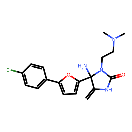 C=C1NC(=O)N(CCN(C)C)C1(N)c1ccc(-c2ccc(Cl)cc2)o1